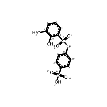 Cc1cccc(S(=O)(=O)Oc2ccc(S(=O)(=O)O)cc2)c1C